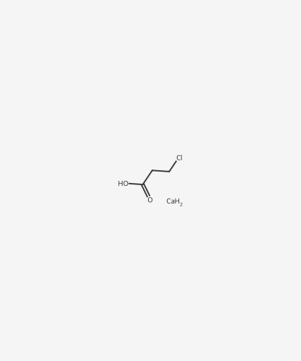 O=C(O)CCCl.[CaH2]